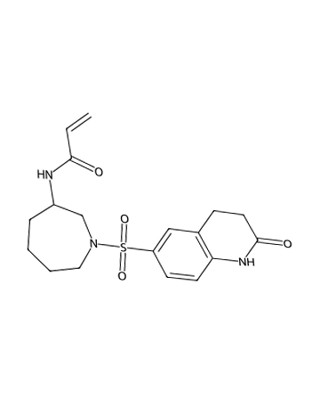 C=CC(=O)NC1CCCCN(S(=O)(=O)c2ccc3c(c2)CCC(=O)N3)C1